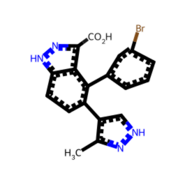 Cc1n[nH]cc1-c1ccc2[nH]nc(C(=O)O)c2c1-c1cccc(Br)c1